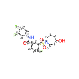 CC1CC(O)CCCN1S(=O)(=O)c1cc(C(=O)Nc2ccc(F)c(F)c2)ccc1F